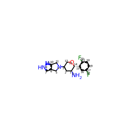 N[C@H]1CC(N2Cc3c[nH]nc3C2)CO[C@@H]1c1cc(F)ccc1F